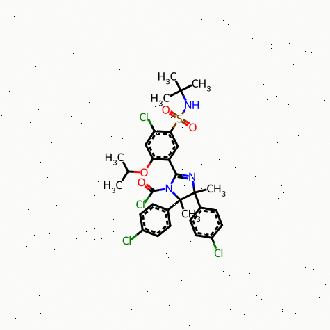 CC(C)Oc1cc(Cl)c(S(=O)(=O)NC(C)(C)C)cc1C1=NC(C)(c2ccc(Cl)cc2)C(C)(c2ccc(Cl)cc2)N1C(=O)Cl